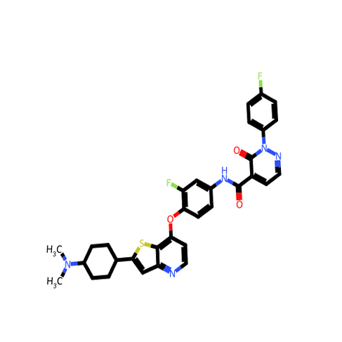 CN(C)C1CCC(c2cc3nccc(Oc4ccc(NC(=O)c5ccnn(-c6ccc(F)cc6)c5=O)cc4F)c3s2)CC1